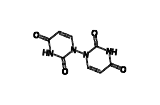 O=c1ccn(-n2ccc(=O)[nH]c2=O)c(=O)[nH]1